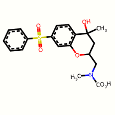 CN(CC1CC(C)(O)c2ccc(S(=O)(=O)c3ccccc3)cc2O1)C(=O)O